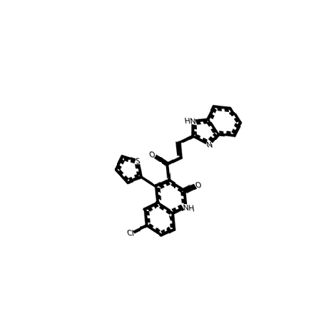 O=C(C=Cc1nc2ccccc2[nH]1)c1c(-c2cccs2)c2cc(Cl)ccc2[nH]c1=O